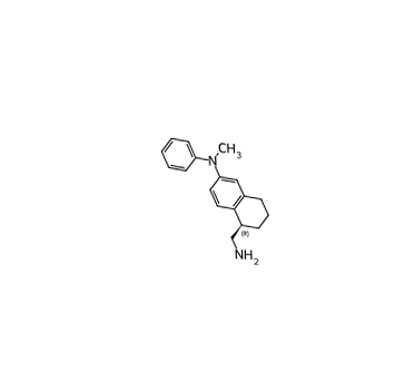 CN(c1ccccc1)c1ccc2c(c1)CCC[C@H]2CN